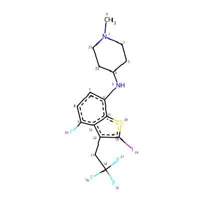 CN1CCC(Nc2ccc(F)c3c(CC(F)(F)F)c(I)sc23)CC1